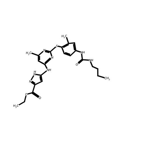 CCCCNC(=O)Nc1ccc(Sc2nc(C)cc(Nc3cc(C(=O)OCC)n[nH]3)n2)c(C)c1